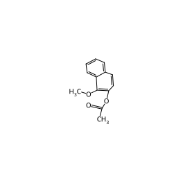 COc1c(OC(C)=O)ccc2ccccc12